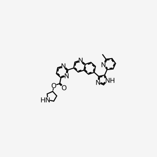 Cc1cccc(-c2[nH]cnc2-c2ccc3ncc(-c4nccc(C(=O)O[C@H]5CCNC5)n4)cc3c2)n1